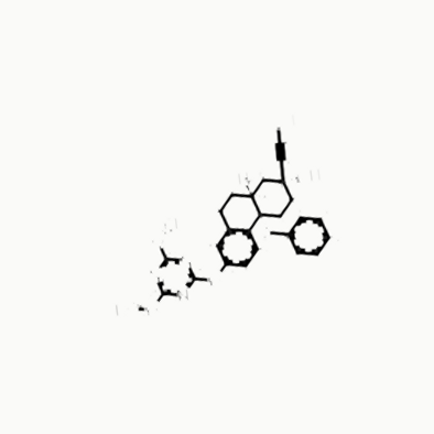 CC#C[C@@]1(O)CC[C@@]2(Cc3ccccc3)c3ccc(Oc4nc(OC)nc(OC)n4)cc3CC[C@@H]2C1